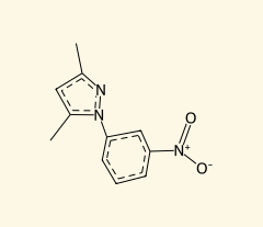 Cc1cc(C)n(-c2cccc([N+](=O)[O-])c2)n1